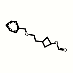 O=COC1CC(CCOCc2ccccc2)C1